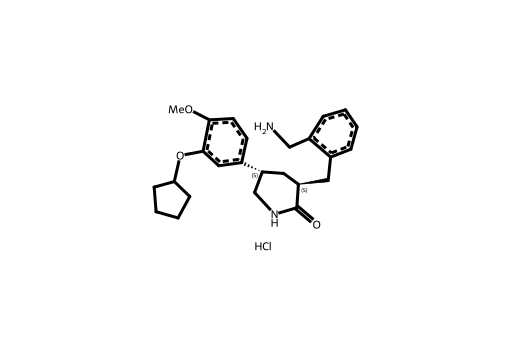 COc1ccc([C@H]2CNC(=O)[C@H](Cc3ccccc3CN)C2)cc1OC1CCCC1.Cl